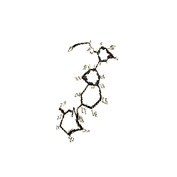 CCOc1ccccc1-c1ccc2c(c1)CCC(N1CCCC1C)C2